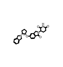 O=C1CCC(N2Cc3cc(O[C@@H]4CCC[C@H]4N4Cc5ccccc5C4)ccc3C2=O)C(=O)N1